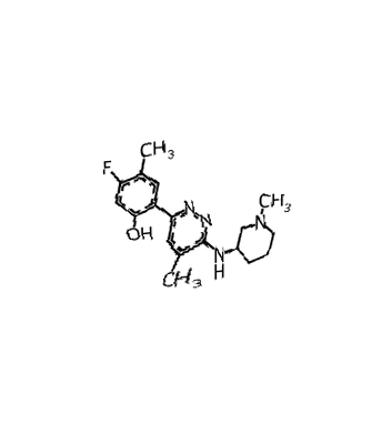 Cc1cc(-c2cc(C)c(N[C@@H]3CCCN(C)C3)nn2)c(O)cc1F